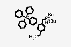 C=Cc1ccc(C[PH+](C(C)(C)C)C(C)(C)C)cc1.c1ccc([B-](c2ccccc2)(c2ccccc2)c2ccccc2)cc1